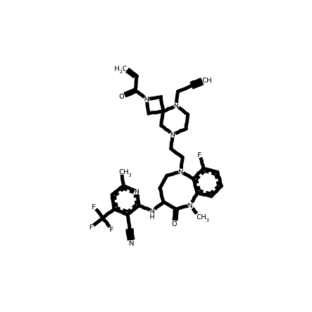 C#CCN1CCN(CCN2CCC(Nc3nc(C)cc(C(F)(F)F)c3C#N)C(=O)N(C)c3cccc(F)c32)CC12CN(C(=O)C=C)C2